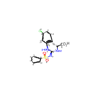 O=C(O)CNC(=NS(=O)(=O)c1ccccc1)Nc1cccc(Cl)c1